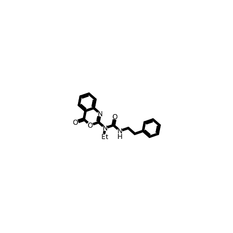 CCN(C(=O)NCCc1ccccc1)c1nc2ccccc2c(=O)o1